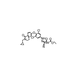 CCOC(=O)NC(=O)C(C#N)=NNc1cc(Cl)c(Oc2ccc3c(c2)CCN(CC2CC2)C3=O)c(Cl)c1